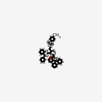 Cc1ccc(S(=O)(=O)O/C=C/C2=C(C(=O)OC(c3ccccc3)c3ccccc3)N3C(=O)C(NC(c4ccccc4)(c4ccccc4)c4ccccc4)C3SC2)cc1